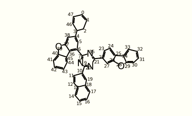 C1=CCC(c2cc(-c3nc(-c4ccc5ccccc5c4)nc(-c4ccc5c(c4)oc4ccccc45)n3)c3c(c2)oc2ccccc23)C=C1